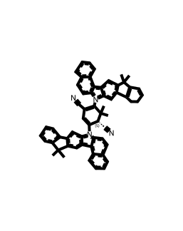 CC1(C)C2=C(CCC=C2)c2cc3c(cc21)c1c2ccccc2ccc1n3C1=C(C#N)C=C(n2c3cc4c(cc3c3c5ccccc5ccc32)C(C)(C)c2ccccc2-4)[C@@H](C#N)C1(C)C